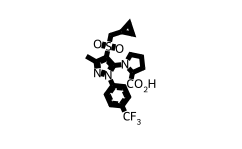 Cc1nn(-c2ccc(C(F)(F)F)cc2)c(N2CCCC2C(=O)O)c1S(=O)(=O)CC1CC1